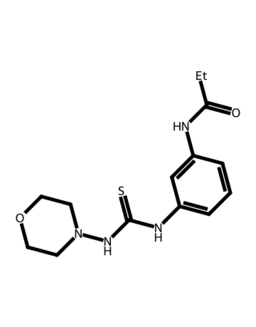 CCC(=O)Nc1cccc(NC(=S)NN2CCOCC2)c1